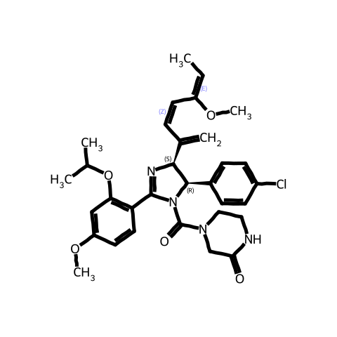 C=C(/C=C\C(=C/C)OC)[C@@H]1N=C(c2ccc(OC)cc2OC(C)C)N(C(=O)N2CCNC(=O)C2)[C@@H]1c1ccc(Cl)cc1